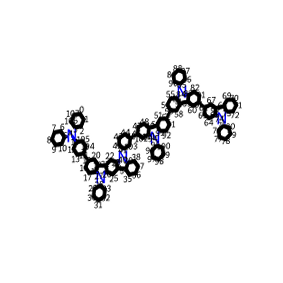 c1ccc(N(c2ccccc2)c2ccc(-c3ccc4c(c3)c3cc5c(cc3n4-c3ccccc3)c3ccccc3n5-c3cccc(-c4ccc5c6cc(-c7ccc8c(c7)c7cc(-c9ccc%10c(c9)c9ccccc9n%10-c9ccccc9)ccc7n8-c7ccccc7)ccc6n(-c6ccccc6)c5c4)c3)cc2)cc1